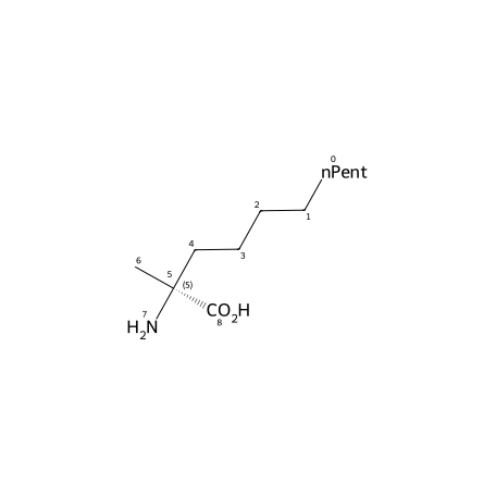 CCCCCCCCC[C@](C)(N)C(=O)O